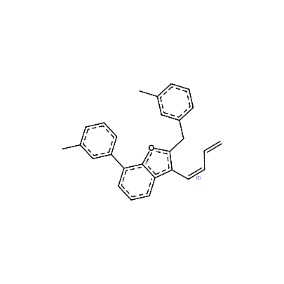 C=C/C=C\c1c(Cc2cccc(C)c2)oc2c(-c3cccc(C)c3)cccc12